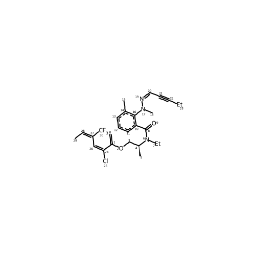 C=C(OC[C@H](C)N(CC)C(=O)c1cccc(C)c1N(C)/N=C\C#CCC)/C(Cl)=C\C(=C/C)C(F)(F)F